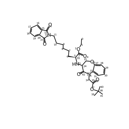 CCOC(=O)[C@H](CCCCCCN1C(=O)c2ccccc2C1=O)NC1COc2ccccc2N(CC(=O)OC(C)(C)C)C1=O